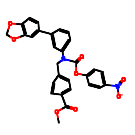 COC(=O)c1ccc(CN(C(=O)Oc2ccc([N+](=O)[O-])cc2)c2cccc(-c3ccc4c(c3)OCO4)c2)cc1